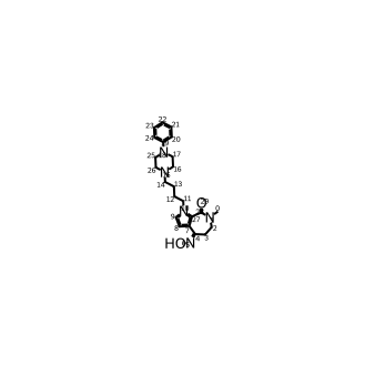 CN1CC/C(=N/O)c2ccn(CCCCN3CCN(c4ccccc4)CC3)c2C1=O